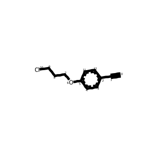 C#Cc1ccc(OCCCCl)cc1